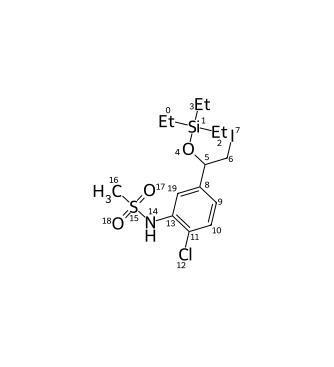 CC[Si](CC)(CC)OC(CI)c1ccc(Cl)c(NS(C)(=O)=O)c1